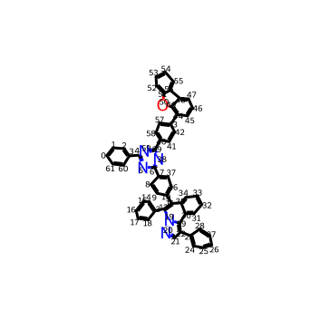 c1ccc(-c2nc(-c3ccc(-c4c(-c5ccccc5)n5ncc(-c6ccccc6)c5c5ccccc45)cc3)nc(-c3ccc(-c4cccc5c4oc4ccccc45)cc3)n2)cc1